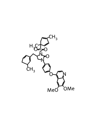 COc1cc2nccc(Oc3ccc(N4CC(CC5=CC(C)CC=C5)N(S(=O)(=O)C5(C)C=CC(C)=CC5)C4=O)cc3)c2cc1OC